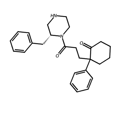 O=C(CCC1(c2ccccc2)CCCCC1=O)N1CCNC[C@H]1Cc1ccccc1